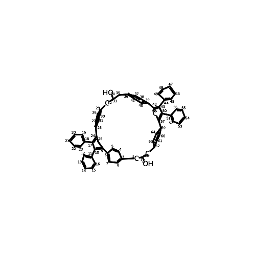 OC1Cc2ccc(cc2)C2=C(c3ccccc3)C(c3ccccc3)=C(C2)c2ccc(cc2)CC(O)Cc2ccc(cc2)C2=C(c3ccccc3)C(c3ccccc3)=C(C2)c2ccc(cc2)C1